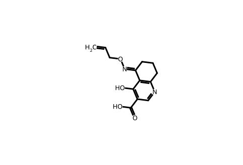 C=CCON=C1CCCc2ncc(C(=O)O)c(O)c21